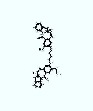 COc1cc2c(cc1OCCCOc1cc3c(cc1C)C(=O)N1c4ccccc4C[C@H]1C=N3)N=C[C@@H]1Cc3ccccc3N1C2=O